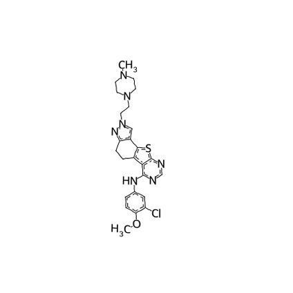 COc1ccc(Nc2ncnc3sc4c(c23)CCc2nn(CCN3CCN(C)CC3)cc2-4)cc1Cl